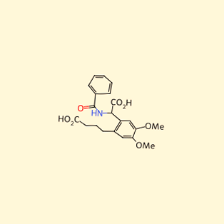 COc1cc(CCCC(=O)O)c(C(NC(=O)c2ccccc2)C(=O)O)cc1OC